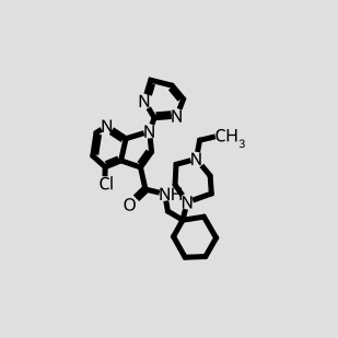 CCN1CCN(C2(CNC(=O)c3cn(-c4ncccn4)c4nccc(Cl)c34)CCCCC2)CC1